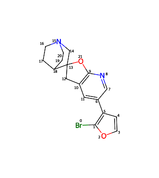 Brc1occc1-c1cnc2c(c1)CC1(CN3CCC1CC3)O2